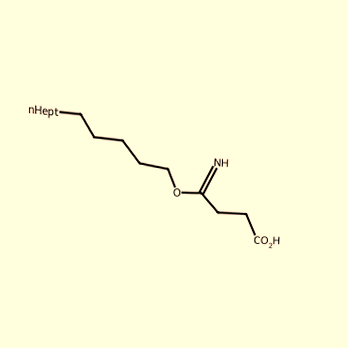 CCCCCCCCCCCCOC(=N)CCC(=O)O